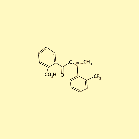 C[C@@H](OC(=O)c1ccccc1C(=O)O)c1ccccc1C(F)(F)F